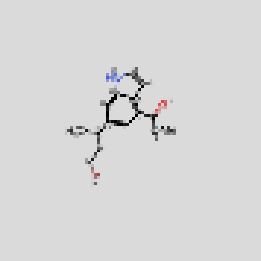 COC(=O)c1cc(C(C)CCBr)cc2[nH]ccc12